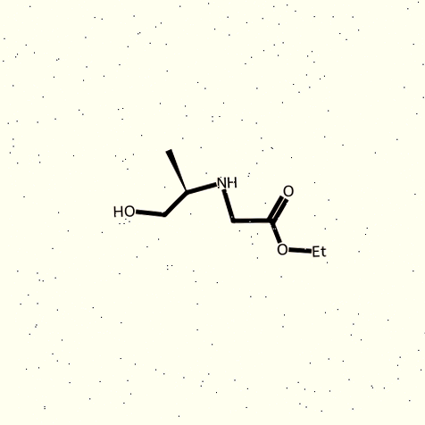 CCOC(=O)CN[C@H](C)CO